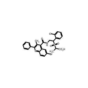 Cc1c(-c2ccccc2)nc2ccc(Br)cc2c1C(=O)NCC(c1ccccc1Cl)S(=O)(=O)C(C)C(=O)O